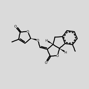 CC1=C[C@H](O/C=C2/C(=O)O[C@H]3c4c(C)cccc4C[C@@H]23)OC1=O